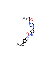 CNC(=O)CN1CCN(Cc2ccc(NC(=O)NCc3ccc(OC)cc3)cc2)CC1